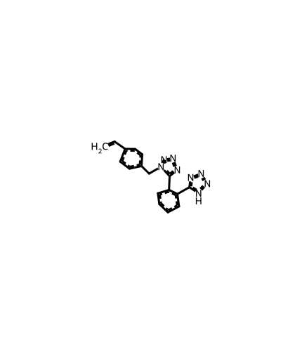 C=Cc1ccc(Cn2nnnc2-c2ccccc2-c2nnn[nH]2)cc1